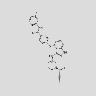 CC#CC(=O)N1CCC[C@@H](Nc2n[nH]c3nccc(Oc4ccc(C(=O)Nc5cc(C)ccn5)cc4)c23)C1